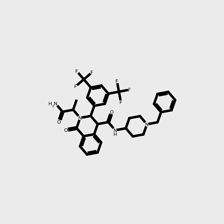 CC(C(N)=O)N1C(=O)c2ccccc2C(C(=O)NC2CCN(Cc3ccccc3)CC2)C1c1cc(C(F)(F)F)cc(C(F)(F)F)c1